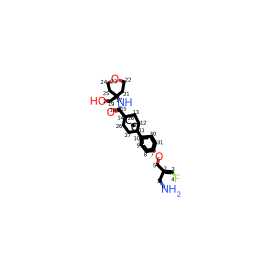 NCC(=CF)COc1ccc(C23CCC(C(=O)NC4(CO)CCOCC4)(CC2)CC3)cc1